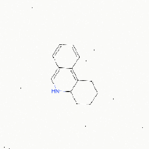 [C]1CCCC2NC=c3ccccc3=C12